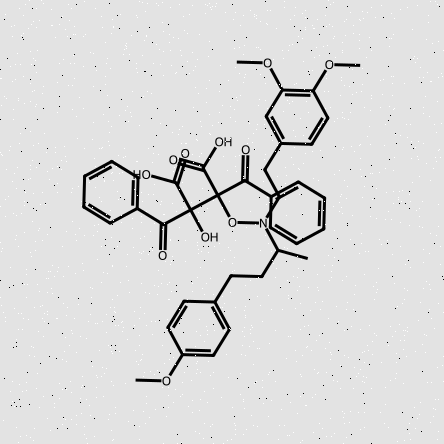 COc1ccc(CCC(C)N(CCc2ccc(OC)c(OC)c2)OC(C(=O)O)(C(=O)c2ccccc2)C(O)(C(=O)O)C(=O)c2ccccc2)cc1